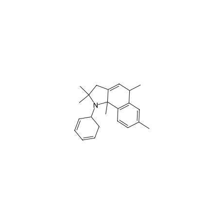 Cc1ccc2c(c1)C(C)C=C1CC(C)(C)N(C3C=CC=CC3)C12C